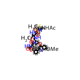 C=CC1CC1(NC(=O)C1CC(Oc2cc(-c3ccccc3)nc3cc(OC)ccc23)CN1C(=O)C(NC(=O)OC(C)(C)C)C(C)(C)C)C(=O)NS(=O)(=O)c1nc(NC(C)=O)sc1C